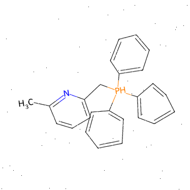 Cc1cccc(C[PH](c2ccccc2)(c2ccccc2)c2ccccc2)n1